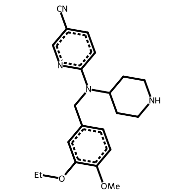 CCOc1cc(CN(c2ccc(C#N)cn2)C2CCNCC2)ccc1OC